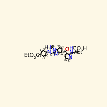 CCOC(=O)c1ccc(NCc2nc3cc(C(=O)c4cccnc4NCC(CC)C(=O)O)ccc3n2C)cc1